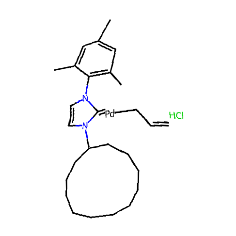 C=C[CH2]/[Pd]=[c]1\n(-c2c(C)cc(C)cc2C)ccn1C1CCCCCCCCCCC1.Cl